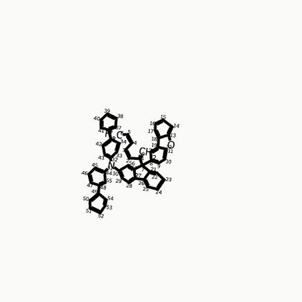 C=C(/C=C\C=C/C)C1(c2ccc3oc4ccccc4c3c2)c2ccccc2-c2ccc(N(c3ccc(-c4ccccc4)cc3)c3cccc(-c4ccccc4)c3)cc21